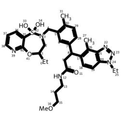 CCC1CN(Cc2cc(C(CC(=O)NCCCOC)c3ccc4c(nnn4CC)c3C)ccc2C)S(O)(O)c2cccnc2O1